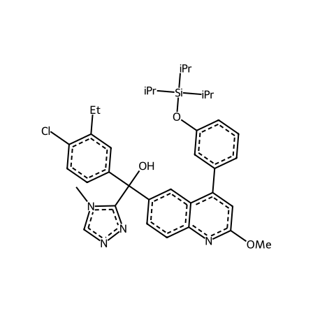 CCc1cc(C(O)(c2ccc3nc(OC)cc(-c4cccc(O[Si](C(C)C)(C(C)C)C(C)C)c4)c3c2)c2nncn2C)ccc1Cl